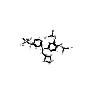 CS(=O)(=O)Nc1cccc(N(Cc2cncs2)c2ccc(OC(F)F)c(OC(F)F)c2)c1